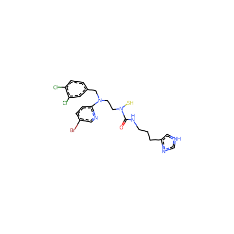 O=C(NCCCc1c[nH]cn1)N(S)CCN(Cc1ccc(Cl)c(Cl)c1)c1ccc(Br)cn1